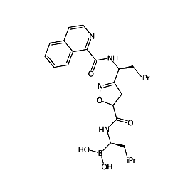 CC(C)C[C@H](NC(=O)C1CC([C@H](CC(C)C)NC(=O)c2nccc3ccccc23)=NO1)B(O)O